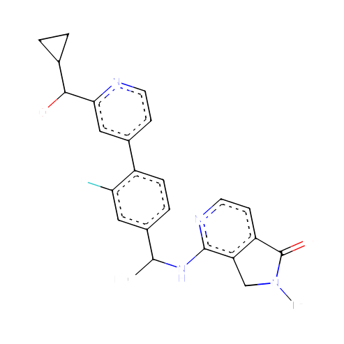 CCN1Cc2c(ccnc2NC(C)c2ccc(-c3ccnc(C(O)C4CC4)c3)c(F)c2)C1=O